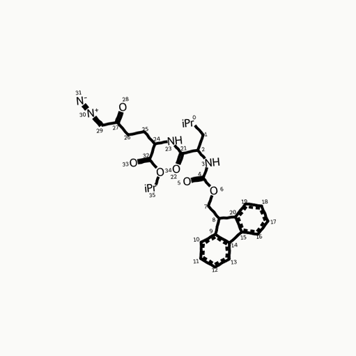 CC(C)CC(NC(=O)OCC1c2ccccc2-c2ccccc21)C(=O)NC(CCC(=O)C=[N+]=[N-])C(=O)OC(C)C